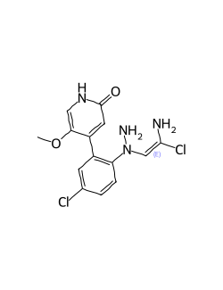 COc1c[nH]c(=O)cc1-c1cc(Cl)ccc1N(N)/C=C(\N)Cl